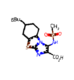 CC(C)(C)C1CCc2c(sc3nc(C(=O)O)c(NS(C)(=O)=O)n23)C1